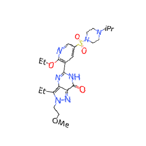 CCOc1ncc(S(=O)(=O)N2CCN(C(C)C)CC2)cc1-c1nc2c(CC)n(CCOC)nc2c(=O)[nH]1